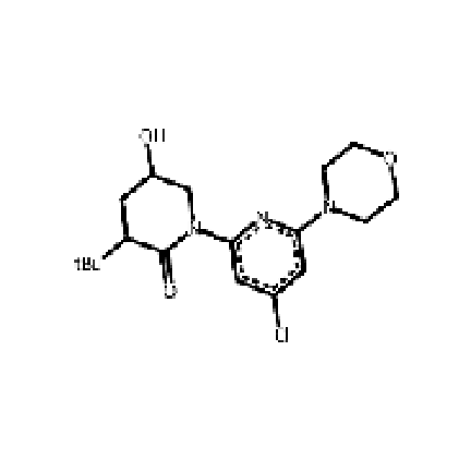 CC(C)(C)C1CC(O)CN(c2cc(Cl)cc(N3CCOCC3)n2)C1=O